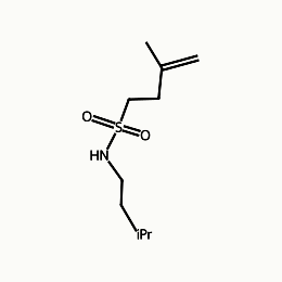 C=C(C)CCS(=O)(=O)NCCC(C)C